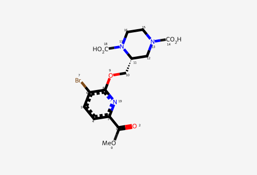 COC(=O)c1ccc(Br)c(OC[C@H]2CN(C(=O)O)CCN2C(=O)O)n1